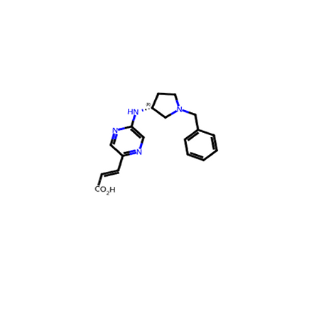 O=C(O)C=Cc1cnc(N[C@@H]2CCN(Cc3ccccc3)C2)cn1